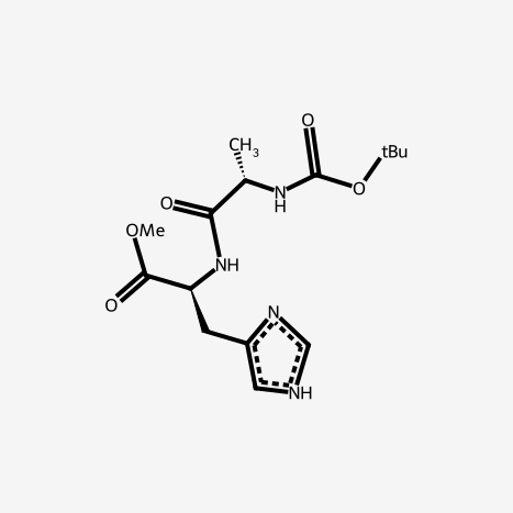 COC(=O)[C@H](Cc1c[nH]cn1)NC(=O)[C@H](C)NC(=O)OC(C)(C)C